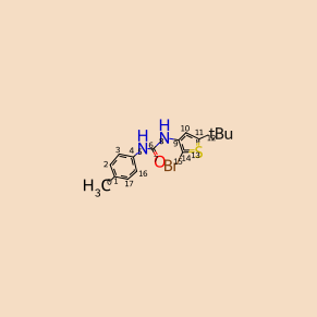 Cc1ccc(NC(=O)Nc2cc(C(C)(C)C)sc2Br)cc1